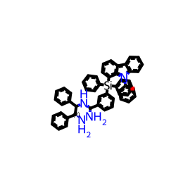 NC(NC(c1ccccc1)[C@H](N)c1ccccc1)c1cccc([Si](c2ccccc2)(c2ccccc2)c2cccc3c4ccccc4n(-c4ccccc4)c23)c1